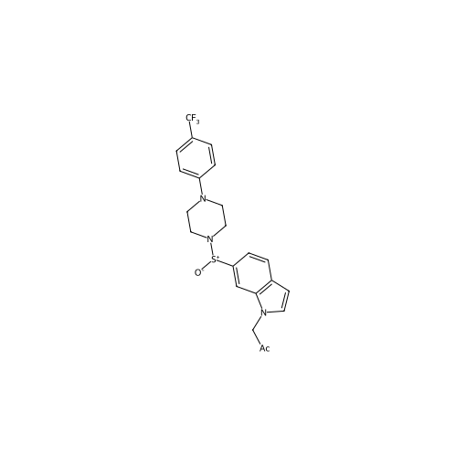 CC(=O)Cn1ccc2ccc([S+]([O-])N3CCN(c4ccc(C(F)(F)F)cc4)CC3)cc21